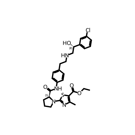 CCOC(=O)c1sc(N2CCC[C@H]2C(=O)Nc2ccc(CCNC[C@H](O)c3cccc(Cl)c3)cc2)nc1C